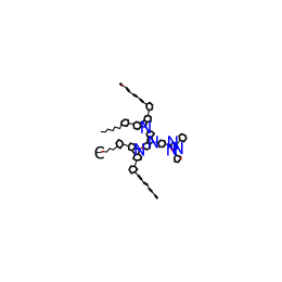 C#CC#CC#CC#Cc1cccc(-c2ccc3c(c2)c2cc(-c4cccc(CCCCCC)c4)ccc2n3-c2ccc3c(c2)c2cc(-n4c5ccc(-c6cccc(C#CC#CC#CC#C)c6)cc5c5cc(-c6cccc(CCCCCC)c6)ccc54)ccc2n3-c2ccc(-c3nc(-c4ccccc4)nc(-c4ccccc4)n3)cc2)c1